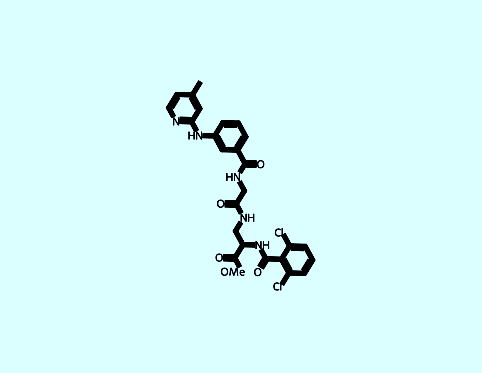 COC(=O)C(CNC(=O)CNC(=O)c1cccc(Nc2cc(C)ccn2)c1)NC(=O)c1c(Cl)cccc1Cl